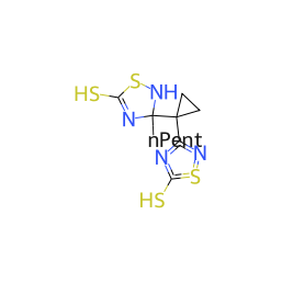 CCCCCC1(C2(c3nsc(S)n3)CC2)N=C(S)SN1